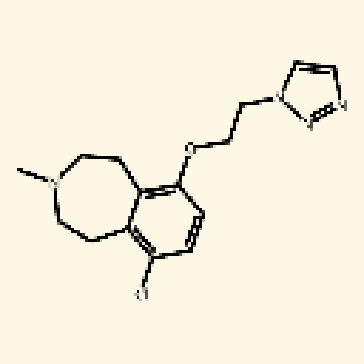 CN1CCc2c(Cl)ccc(OCCn3ccnn3)c2CC1